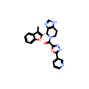 Cc1c([C@@H]2c3nc[nH]c3CCN2C(=O)c2nnc(-c3cccnc3)o2)oc2ccccc12